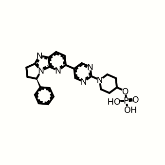 O=P(O)(O)OC1CCN(c2ncc(-c3ccc4nc5n(c4n3)[C@@H](c3ccccc3)CC5)cn2)CC1